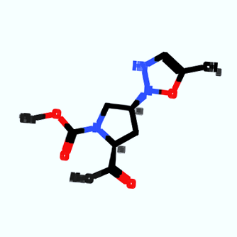 COC(=O)[C@@H]1C[C@H](N2NC=C(C)O2)CN1C(=O)OC(C)(C)C